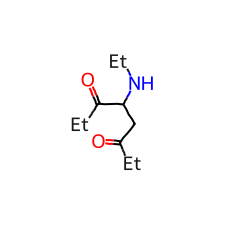 CCNC(CC(=O)CC)C(=O)CC